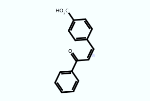 O=C(O)c1ccc(/C=C\C(=O)c2ccccc2)cc1